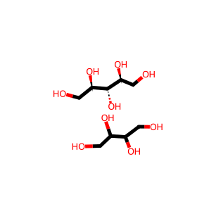 OCC(O)C(O)CO.OC[C@@H](O)[C@@H](O)[C@@H](O)CO